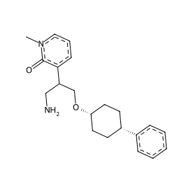 Cn1cccc(C(CN)CO[C@H]2CC[C@@H](c3ccccc3)CC2)c1=O